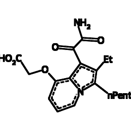 CCCCCc1c(CC)c(C(=O)C(N)=O)c2c(OCC(=O)O)cccn12